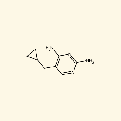 Nc1ncc(CC2CC2)c(N)n1